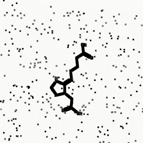 O=C(O)CCS/N=C1\NCCN1CC(=O)O